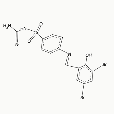 [N]=C(N)NS(=O)(=O)c1ccc(N=Cc2cc(Br)cc(Br)c2O)cc1